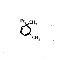 CC1=CC=CC(C)(C(C)C)[CH]1